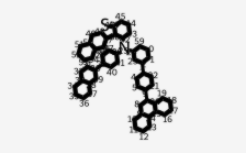 c1cc(-c2ccc(-c3cc4ccccc4c4ccccc34)cc2)cc(N(c2ccc(-c3ccc4ccccc4c3)cc2)c2cccc3sc4cc5ccccc5cc4c23)c1